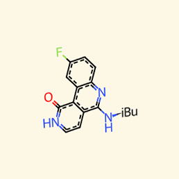 CC[C@H](C)Nc1nc2ccc(F)cc2c2c(=O)[nH]ccc12